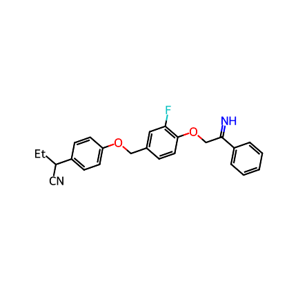 CCC(C#N)c1ccc(OCc2ccc(OCC(=N)c3ccccc3)c(F)c2)cc1